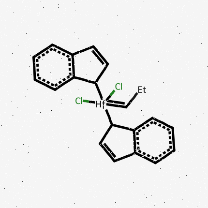 CC[CH]=[Hf]([Cl])([Cl])([CH]1C=Cc2ccccc21)[CH]1C=Cc2ccccc21